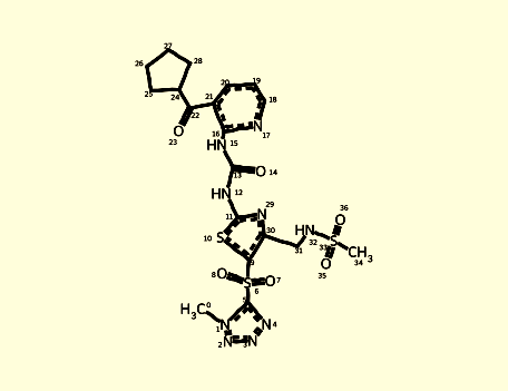 Cn1nnnc1S(=O)(=O)c1sc(NC(=O)Nc2ncccc2C(=O)C2CCCC2)nc1CNS(C)(=O)=O